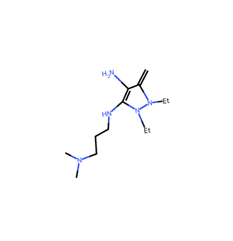 C=C1C(N)=C(NCCCN(C)C)N(CC)N1CC